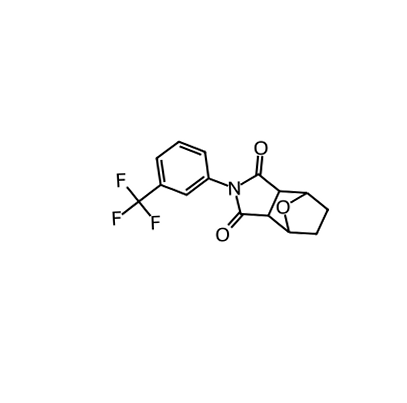 O=C1C2C3CCC(O3)C2C(=O)N1c1cccc(C(F)(F)F)c1